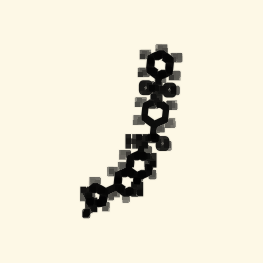 Cn1cc(-c2cnc3cnc(NC(=O)C4CCN(S(=O)(=O)c5ccccc5)CC4)cc3c2)cn1